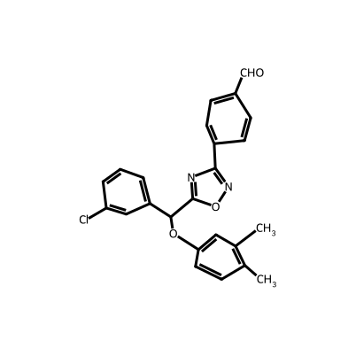 Cc1ccc(OC(c2cccc(Cl)c2)c2nc(-c3ccc(C=O)cc3)no2)cc1C